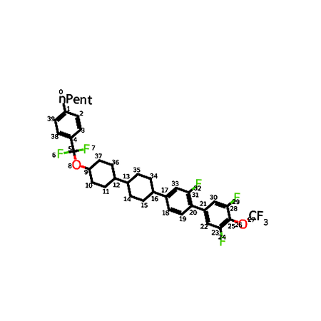 CCCCCc1ccc(C(F)(F)OC2CCC(C3CCC(c4ccc(-c5cc(F)c(OC(F)(F)F)c(F)c5)c(F)c4)CC3)CC2)cc1